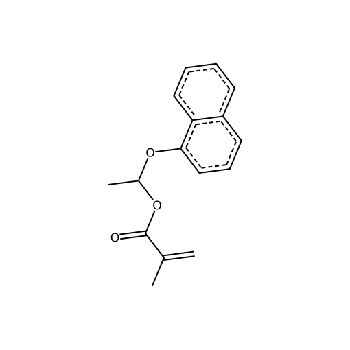 C=C(C)C(=O)OC(C)Oc1cccc2ccccc12